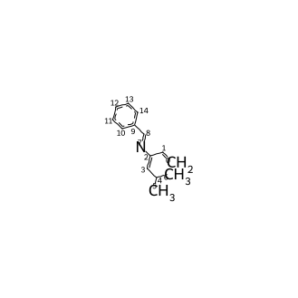 C=CC(=C\C(C)C)/N=C/c1ccccc1